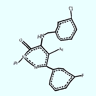 CC(=O)c1c(-c2cccc(F)c2)nn(C(C)C)c(=O)c1Nc1cccc(Cl)c1